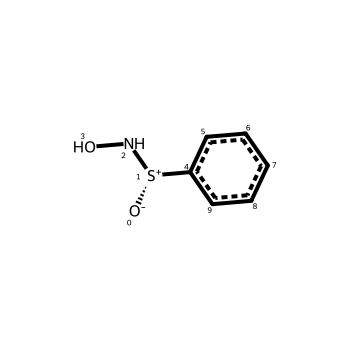 [O-][S@+](NO)c1ccccc1